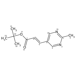 Cc1ncc(/C=C/C(=O)OC(C)(C)C)cn1